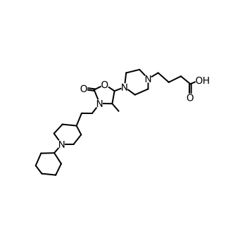 CC1C(N2CCN(CCCC(=O)O)CC2)OC(=O)N1CCC1CCN(C2CCCCC2)CC1